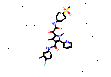 Cc1cc(NC(=O)c2c(C)c(C(=O)C(=O)NC3CCC(S(C)(=O)=O)CC3)n(C)c2-c2ccccn2)ccc1F